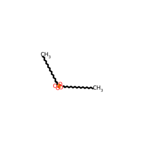 CCCCCCCCCCCCCCCC=COS(=O)(=O)C(=O)C=CCCCCCCCCCCCCCCC